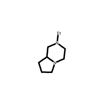 CCN1CCN2CCCC2C1